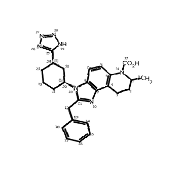 CC1CCc2c(ccc3c2nc(Cc2ccccc2)n3[C@H]2CCC[C@@H](c3nnn[nH]3)C2)N1C(=O)O